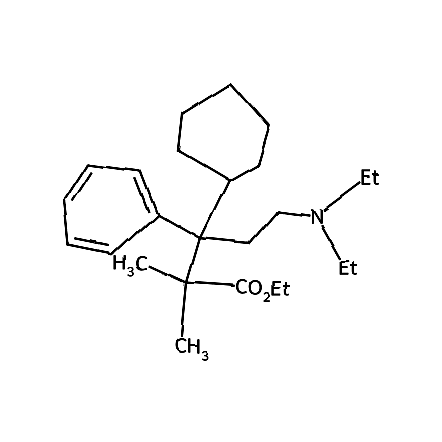 CCOC(=O)C(C)(C)C(CCN(CC)CC)(c1ccccc1)C1CCCCC1